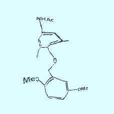 COc1ccc(OC)c(COc2c(C)cc(NC(C)=O)cc2C)c1